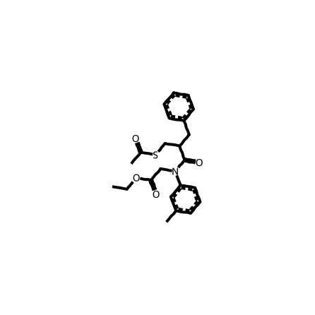 CCOC(=O)CN(C(=O)C(CSC(C)=O)Cc1ccccc1)c1cccc(C)c1